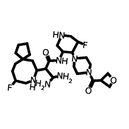 NC(N)C(C(=O)NC1CNCC(F)C1N1CCN(C(=O)C2COC2)CC1)C1CC2(CCCC2)CCC(F)CN1